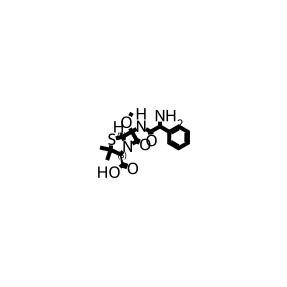 COC1(NC(=O)C(N)c2ccccc2)C(=O)N2[C@@H](C(=O)O)C(C)(C)S[C@@H]21